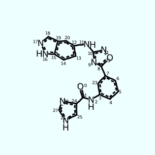 O=C(Nc1cccc(-c2nc(Nc3ccc4[nH]ncc4c3)no2)c1)c1c[nH]cn1